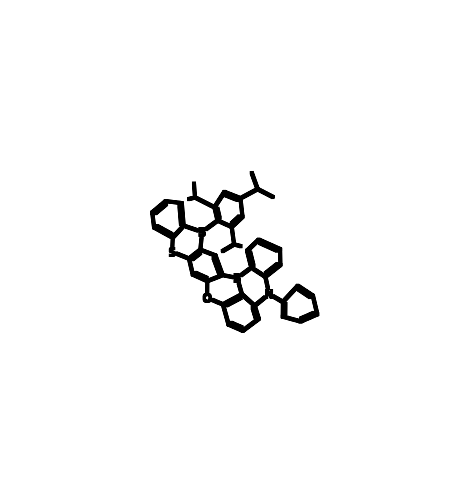 CC(C)c1cc(C(C)C)c(B2c3ccccc3Sc3cc4c(cc32)B2c3ccccc3N(c3ccccc3)c3cccc(c32)O4)c(C(C)C)c1